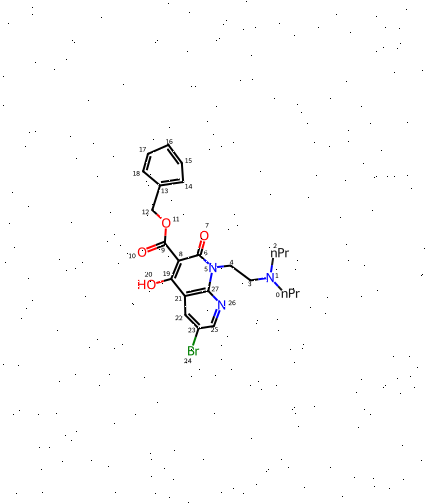 CCCN(CCC)CCn1c(=O)c(C(=O)OCc2ccccc2)c(O)c2cc(Br)cnc21